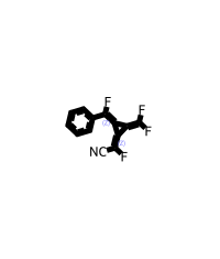 N#C/C(F)=C1/C(=C(F)F)/C1=C(\F)c1ccccc1